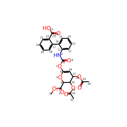 COC(=O)C1OC(OC(=O)Nc2ccccc2-c2ccccc2C(=O)O)=CC(OC(C)=O)C1OC(C)=O